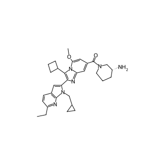 CCc1ccc2cc(-c3nc4cc(C(=O)N5CCC[C@@H](N)C5)cc(OC)n4c3C3CCC3)n(CC3CC3)c2n1